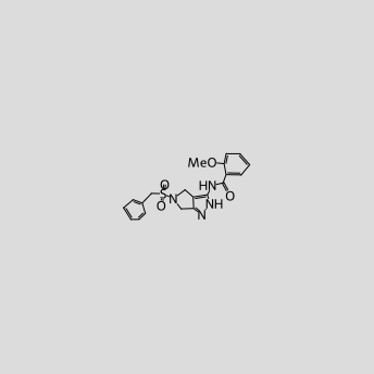 COc1ccccc1C(=O)Nc1[nH]nc2c1CN(S(=O)(=O)Cc1ccccc1)C2